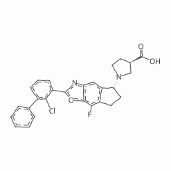 O=C(O)[C@@H]1CCN([C@@H]2CCc3c2cc2nc(-c4cccc(-c5ccccc5)c4Cl)oc2c3F)C1